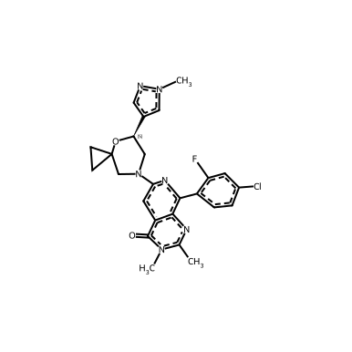 Cc1nc2c(-c3ccc(Cl)cc3F)nc(N3C[C@H](c4cnn(C)c4)OC4(CC4)C3)cc2c(=O)n1C